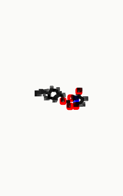 CCCc1ccc(COC(=O)ON2C(=O)CCC2=O)cc1